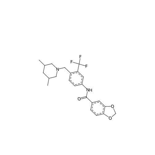 CC1CC(C)CN(Cc2ccc(NC(=O)c3ccc4c(c3)OCO4)cc2C(F)(F)F)C1